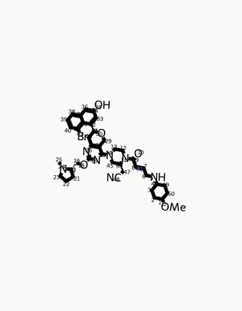 COC1CCC(NC/C=C/C(=O)N2CCN(c3nc(OC[C@@H]4CCCN4C)nc4c3CO[C@H](c3cc(O)cc5cccc(Br)c35)C4)C[C@@H]2CC#N)CC1